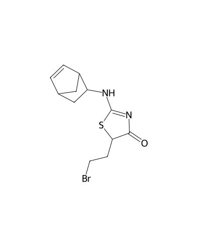 O=C1N=C(NC2CC3C=CC2C3)SC1CCBr